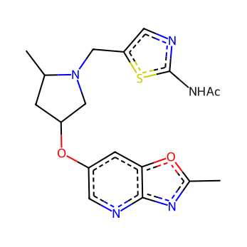 CC(=O)Nc1ncc(CN2CC(Oc3cnc4nc(C)oc4c3)CC2C)s1